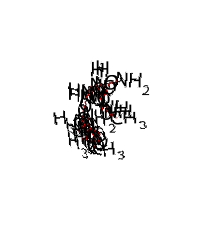 CCCNC(=O)Nc1cccc(S(=O)(=O)Nc2cccc(C(CC(=O)OCCCN)NC(=O)Nc3ccc(NC(=O)NCCOCCOCCOCCC(=O)NC(CC(=O)OCCCN)C(=O)N4CCCC4C(=O)NC(C(=O)OC4(CC)C(=O)OCc5c4cc4n(c5=O)Cc5c-4nc4ccccc4c5CC)C(C)C)cc3)c2)c1